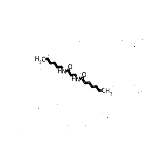 CCCCCCNC(=O)CCNC(=O)CCCCCC